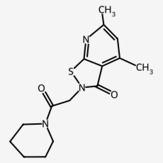 Cc1cc(C)c2c(=O)n(CC(=O)N3CCCCC3)sc2n1